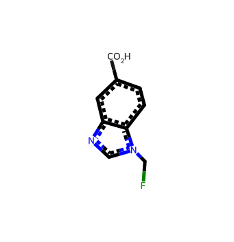 O=C(O)c1ccc2c(c1)ncn2CF